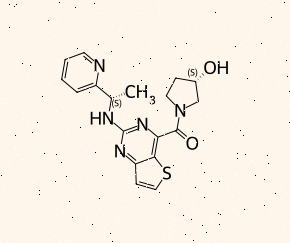 C[C@H](Nc1nc(C(=O)N2CC[C@H](O)C2)c2sccc2n1)c1ccccn1